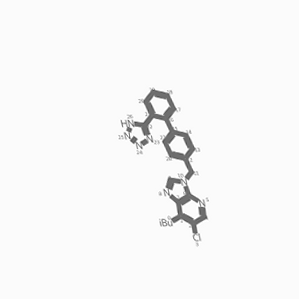 CCC(C)c1c(Cl)cnc2c1ncn2Cc1ccc(-c2ccccc2-c2nnn[nH]2)cc1